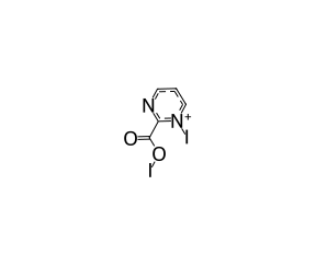 O=C(OI)c1nccc[n+]1I